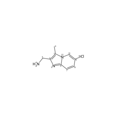 Cc1c(CN)nc2ccc(Cl)cn12